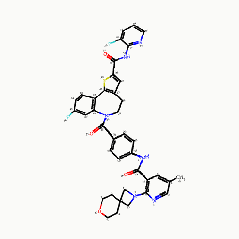 Cc1cnc(N2CC3(CCOCC3)C2)c(C(=O)Nc2ccc(C(=O)N3CCc4cc(C(=O)Nc5ncccc5F)sc4-c4ccc(F)cc43)cc2)c1